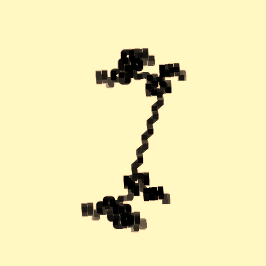 CO[Si](CCn1nc(CCCCCCCCCCc2nc(N)n(CC[Si](OC)(OC)OC)n2)nc1N)(OC)OC